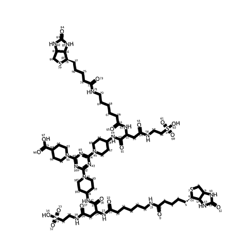 O=C(CCCC[C@@H]1SCC2NC(=O)NC21)NCCCCCC(=O)NC(CC(=O)NCCS(=O)(=O)O)C(=O)NC1CCN(c2nc(N3CCC(NC(=O)C(CC(=O)NCCS(=O)(=O)O)NC(=O)CCCCCNC(=O)CCCC[C@H]4SCC5NC(=O)NC54)CC3)nc(N3CCC(C(=O)O)CC3)n2)CC1